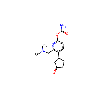 CN(C)Cc1nc(OC(N)=O)ccc1C1CCC(=O)C1